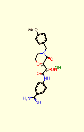 COc1ccc(CN2CCO[C@H]([C@@H](O)C(=O)Nc3ccc(C(=N)N)cc3)C2=O)cc1.Cl